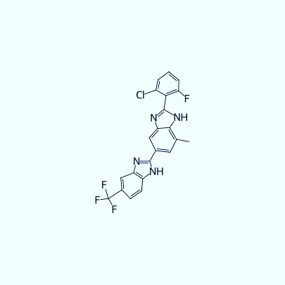 Cc1cc(-c2nc3cc(C(F)(F)F)ccc3[nH]2)cc2nc(-c3c(F)cccc3Cl)[nH]c12